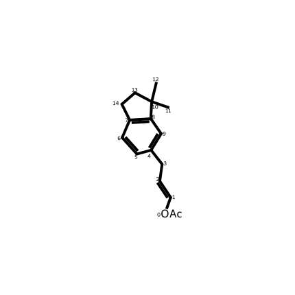 CC(=O)OC=CCc1ccc2c(c1)C(C)(C)CC2